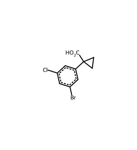 O=C(O)C1(c2cc(Cl)cc(Br)c2)CC1